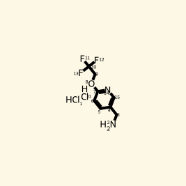 Cl.Cl.NCc1ccc(OCC(F)(F)F)nc1